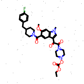 CCOC(=O)ON1CCN(C(=O)C(=O)c2cn(C)c3cc(OC)c(C(=O)N4CCC(Cc5ccc(F)cc5)CC4)cc23)CC1